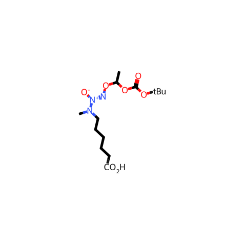 CC(O/N=[N+](\[O-])N(C)CCCCCC(=O)O)OC(=O)OC(C)(C)C